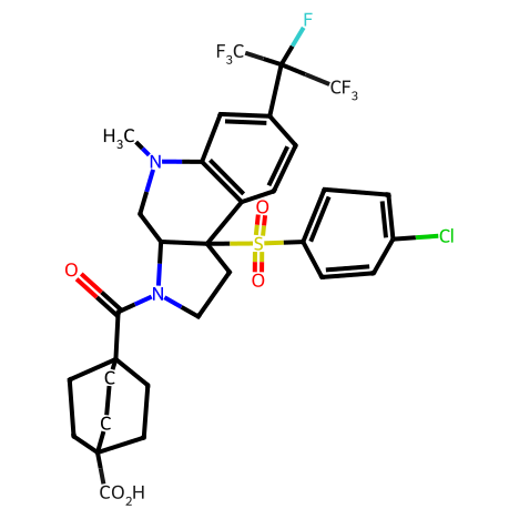 CN1CC2N(C(=O)C34CCC(C(=O)O)(CC3)CC4)CCC2(S(=O)(=O)c2ccc(Cl)cc2)c2ccc(C(F)(C(F)(F)F)C(F)(F)F)cc21